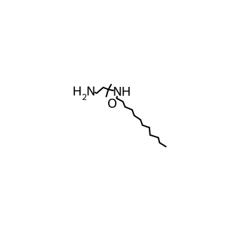 CCCCCCCCCCCC(=O)NC(C)(C)CCN